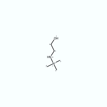 [CH2][N+](C)(C)NCCO